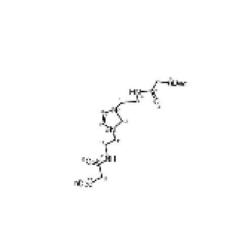 CCCCCCCCCCCC(=O)NCCN1C=CN(CCNC(=O)CCCCCCCCCCC)C1